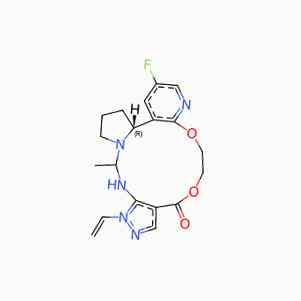 C=Cn1ncc2c1NC(C)N1CCC[C@@H]1c1cc(F)cnc1OCCOC2=O